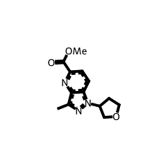 COC(=O)c1ccc2c(n1)c(C)nn2C1CCOC1